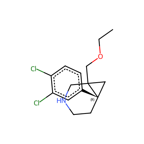 CCOCC12CNCC[C@@]1(c1ccc(Cl)c(Cl)c1)C2